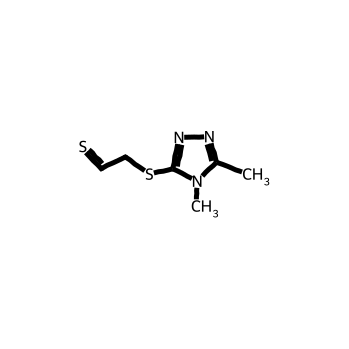 Cc1nnc(SCC=S)n1C